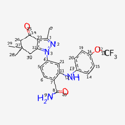 Cc1nn(-c2ccc(C(N)=O)c(Nc3ccc(OC(F)(F)F)cc3)c2)c2c1C(=O)CC(C)(C)C2